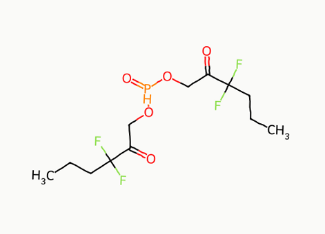 CCCC(F)(F)C(=O)CO[PH](=O)OCC(=O)C(F)(F)CCC